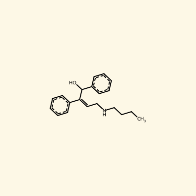 CCCCNCC=C(c1ccccc1)C(O)c1ccccc1